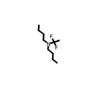 CCCCN(CCCC)C(C)(F)F